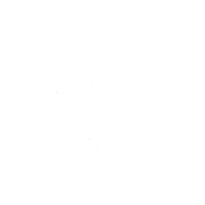 COc1ccc(OC)c(CCC(=O)Nc2sc3c(c2C#N)CCN(C(=O)OCCO)C3)c1